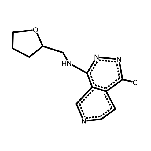 Clc1nnc(NCC2CCCO2)c2cnccc12